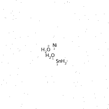 O.O.[Ni].[SnH2]